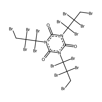 O=c1n(C(Br)(Br)C(Br)(Br)CBr)c(=O)n(C(Br)(Br)C(Br)(Br)CBr)c(=O)n1C(Br)(Br)C(Br)(Br)CBr